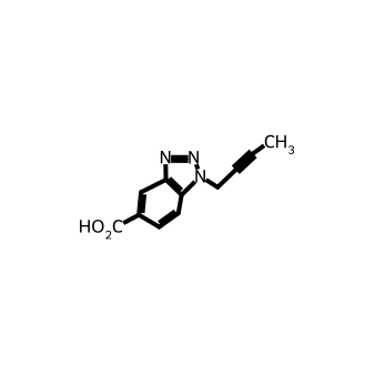 CC#CCn1nnc2cc(C(=O)O)ccc21